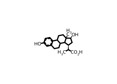 CC(C(=O)O)[C@@H]1C[C@H](O)[C@@]2(C)CCC3c4ccc(O)cc4CCC3C12